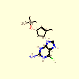 CC1=C[C@@H](O[Si](C)(C)C(C)(C)C)C[C@H]1n1cnc2c(Cl)nc(N)nc21